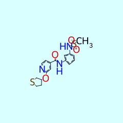 CS(=O)(=O)Nc1cccc(NC(=O)c2ccnc(OC3CCSC3)c2)c1